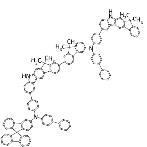 CC1(C)c2ccc(N(c3ccc(-c4ccccc4)cc3)c3ccc(-c4ccc5[nH]c6cc7c(cc6c5c4)-c4ccccc4C7(C)C)cc3)cc2-c2ccc(-c3ccc4c(c3)C(C)(C)c3cc5[nH]c6ccc(-c7ccc(N(c8ccc(-c9ccccc9)cc8)c8ccc9c(c8)-c8ccccc8C98c9ccccc9-c9ccccc98)cc7)cc6c5cc3-4)cc21